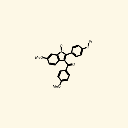 COc1ccc(C(=O)c2c(-c3ccc(OC(C)C)cc3)[s+]([O-])c3cc(OC)ccc23)cc1